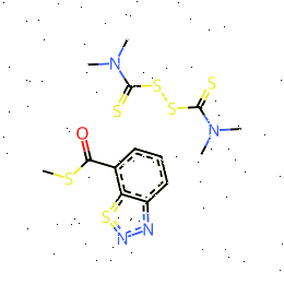 CN(C)C(=S)SSC(=S)N(C)C.CSC(=O)c1cccc2nnsc12